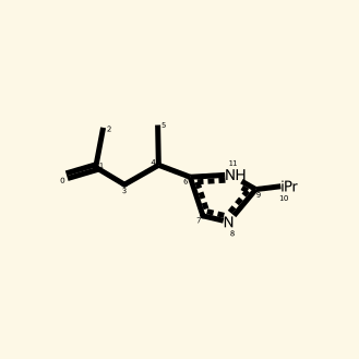 C=C(C)CC(C)c1cnc(C(C)C)[nH]1